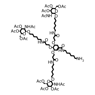 CC(=O)N[C@H]1[C@H](OCCCCCCNC(=O)CCO[C@@H]2[C@H](OCCC(=O)NCCCCCCO[C@@H]3O[C@H](COC(C)=O)[C@H](OC(C)=O)[C@H](OC(C)=O)[C@H]3NC(C)=O)C=C(C(=O)NCCCCCCN)C[C@H]2OCCC(=O)NCCCCCCO[C@@H]2O[C@H](COC(C)=O)[C@H](OC(C)=O)[C@H](OC(C)=O)[C@H]2NC(C)=O)O[C@H](COC(C)=O)[C@H](OC(C)=O)[C@@H]1OC(C)=O